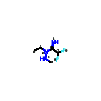 CCN(NC)C(=N)C(F)F